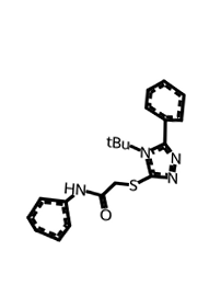 CC(C)(C)n1c(SCC(=O)Nc2ccccc2)nnc1-c1ccccc1